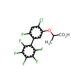 CC(Oc1cc(-c2c(F)c(F)c(F)c(F)c2F)c(F)cc1Cl)C(=O)O